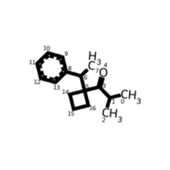 CC(C)C(=O)C1(C(C)c2ccccc2)CCC1